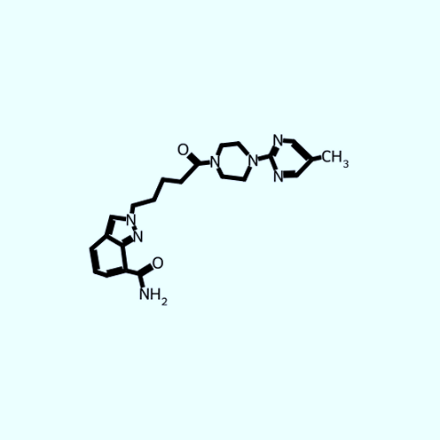 Cc1cnc(N2CCN(C(=O)CCCCn3cc4cccc(C(N)=O)c4n3)CC2)nc1